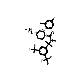 Cc1cc(F)ccc1[C@H]1C[C@@H](CN)CCN1C(=O)N(C)C(C)(C)c1cc(C(F)(F)F)cc(C(F)(F)F)c1